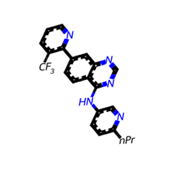 CCCc1ccc(Nc2ncnc3cc(-c4ncccc4C(F)(F)F)ccc23)cn1